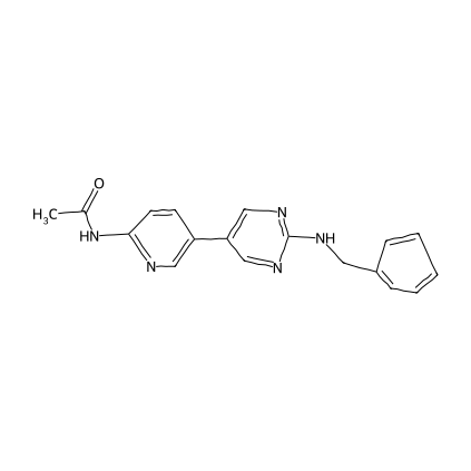 CC(=O)Nc1ccc(-c2cnc(NCc3ccccc3)nc2)cn1